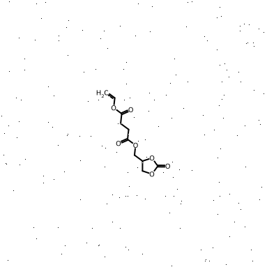 C=COC(=O)CCC(=O)OCC1COC(=O)O1